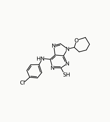 Sc1nc(Nc2ccc(Cl)cc2)c2ncn(C3CCCCO3)c2n1